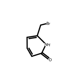 O=c1cccc(CBr)[nH]1